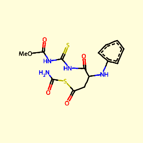 COC(=O)NC(=S)NC(=O)C(CC(=O)SC(N)=O)Nc1ccccc1